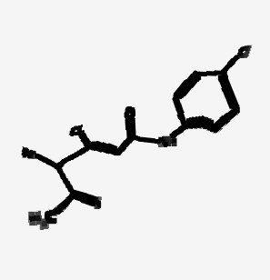 CC(=O)C(C(C)=S)/C(Cl)=C/C(=O)Nc1ccc(Cl)cc1